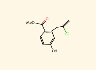 C=C(Cl)Cc1cc(C#N)ccc1C(=O)OC